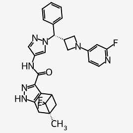 C[C@@]12Cc3[nH]nc(C(=O)Nc4cnn([C@H](c5ccccc5)C5CN(c6ccnc(F)c6)C5)c4)c3C(C1)C2(F)F